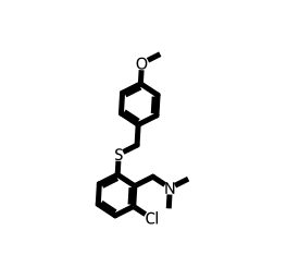 COc1ccc(CSc2cccc(Cl)c2CN(C)C)cc1